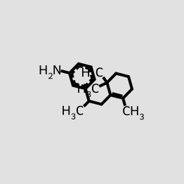 CC1=C(CC(C)c2cccc(N)c2)C(C)(C)CCC1